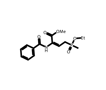 CCOP(C)(=O)CC=C(NC(=O)c1ccccc1)C(=O)OC